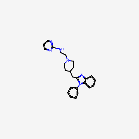 c1ccc(-n2c(CC3CCN(CCNc4ncccn4)CC3)nc3ccccc32)cc1